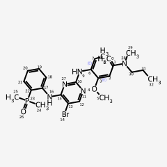 C=C(/C=C(OC)\C(=C/C)Nc1ncc(Br)c(Nc2ccccc2P(C)(C)=O)n1)N(C)CCC